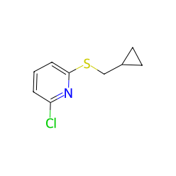 Clc1cccc(SCC2CC2)n1